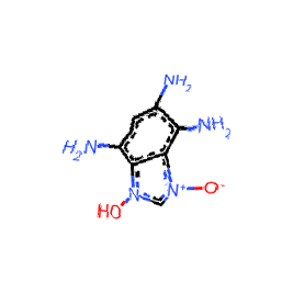 Nc1cc(N)c2c(c1N)[n+]([O-])cn2O